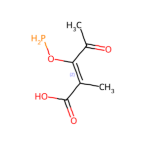 CC(=O)/C(OP)=C(\C)C(=O)O